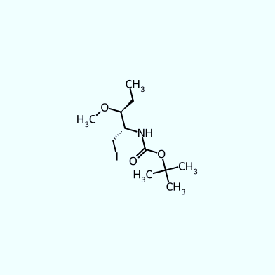 CC[C@H](OC)[C@@H](CI)NC(=O)OC(C)(C)C